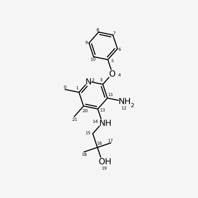 Cc1nc(Oc2ccccc2)c(N)c(NCC(C)(C)O)c1C